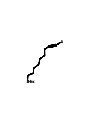 [Li][C]#CCCCCCCCCCCCCC